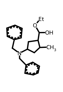 CCOC(O)C1CC(N(Cc2ccccc2)Cc2ccccc2)CC1C